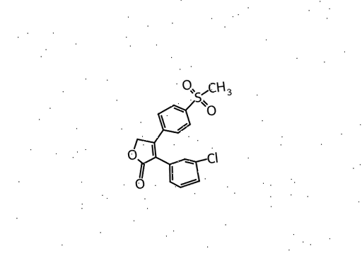 CS(=O)(=O)c1ccc(C2=C(c3cccc(Cl)c3)C(=O)OC2)cc1